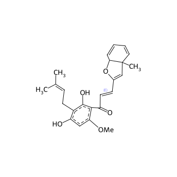 COc1cc(O)c(CC=C(C)C)c(O)c1C(=O)/C=C/C1=CC2(C)C=CC=CC2O1